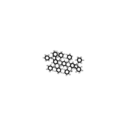 c1ccc(N2c3cc4c(cc3B3c5ccccc5Sc5c3c2cc2c5c3ccccc3n2-c2ccccc2)B2c3ccccc3N(c3ccccc3)c3cc5c(c(c32)N4c2ccccc2)c2ccccc2n5-c2ccccc2)cc1